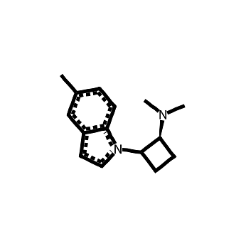 Cc1ccc2c(ccn2C2CC[C@@H]2N(C)C)c1